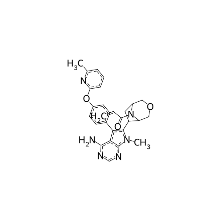 C=CC(=O)N1C2COCC1C(c1c(-c3ccc(Oc4cccc(C)n4)cc3)c3c(N)ncnc3n1C)C2